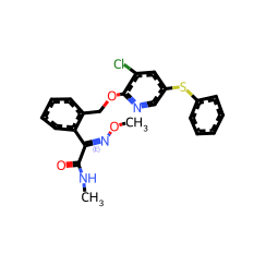 CNC(=O)/C(=N/OC)c1ccccc1COc1ncc(Sc2ccccc2)cc1Cl